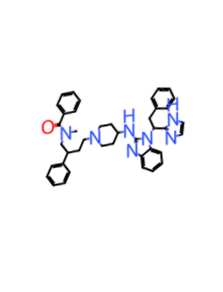 CN(CC(CCN1CCC(Nc2nc3ccccc3n2C(Cc2ccccc2)c2ncc[nH]2)CC1)c1ccccc1)C(=O)c1ccccc1